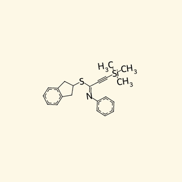 C[Si](C)(C)C#CC(=Nc1ccccc1)SC1Cc2ccccc2C1